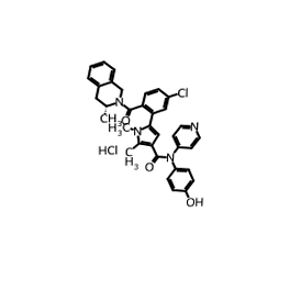 Cc1c(C(=O)N(c2ccncc2)c2ccc(O)cc2)cc(-c2cc(Cl)ccc2C(=O)N2Cc3ccccc3C[C@H]2C)n1C.Cl